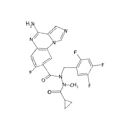 CN(C(=O)C1CC1)N(Cc1cc(F)c(F)cc1F)C(=O)c1cc2c(cc1F)nc(N)c1cncn12